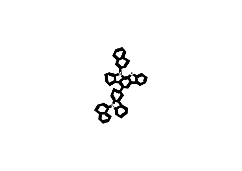 c1ccc2cc(-n3c4ccccc4c4c(-c5ccc6c(c5)c5ccccc5n6-c5cccc6ccccc56)cc5c6ccccc6sc5c43)ccc2c1